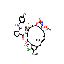 COc1cc2cc(c1Cl)N(C)C(=O)C[C@H](OC(=O)C1CCCN1C(=O)Nc1ccc(C(C)=O)cc1)C1(C)OC1C(C)[C@@H]1C[C@@](O)(NC(=O)O1)[C@H](OC)/C=C/C=C(\C)C2